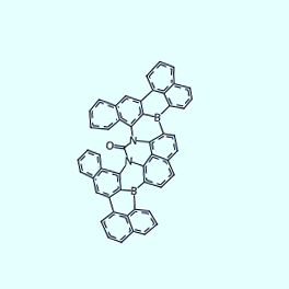 O=C1N2c3c4c(cc5ccccc35)-c3cccc5cccc(c35)B4c3ccc4ccc5c(c4c32)N1c1c2c(cc3ccccc13)-c1cccc3cccc(c13)B52